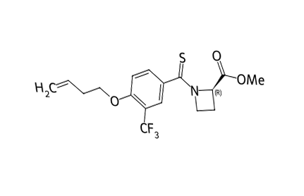 C=CCCOc1ccc(C(=S)N2CC[C@@H]2C(=O)OC)cc1C(F)(F)F